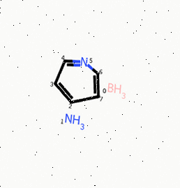 B.N.c1ccncc1